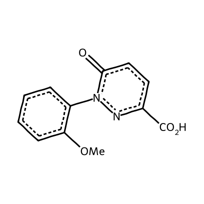 COc1ccccc1-n1nc(C(=O)O)ccc1=O